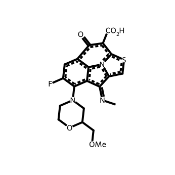 CN=c1c2c(N3CCOC(COC)C3)c(F)cc3c(=O)c(C(=O)O)c4scc1n4c32